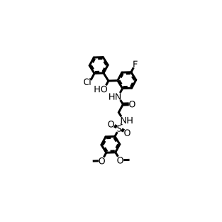 COc1ccc(S(=O)(=O)NCC(=O)Nc2ccc(F)cc2C(O)c2ccccc2Cl)cc1OC